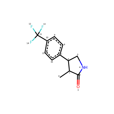 CC1C(=O)NCC1c1ccc(C(F)(F)F)cc1